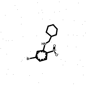 O=[N+]([O-])c1ccc(Br)cc1NCC1CCCCC1